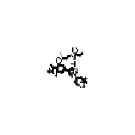 CCC(=O)NCC[C@@H](C)Oc1cc(-c2cnn([C@@H]3CCOC(C)(C)C3)c2)cc2nn(C)c(C)c12